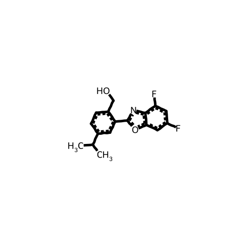 CC(C)c1ccc(CO)c(-c2nc3c(F)cc(F)cc3o2)c1